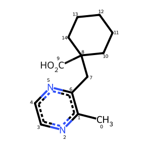 Cc1nccnc1CC1(C(=O)O)CCCCC1